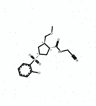 COC[C@@H]1C[C@@H](S(=O)(=O)c2ccccc2Cl)C[C@H]1C(=O)NCC#N